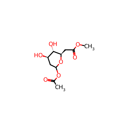 COC(=O)C[C@H]1OC(OC(C)=O)C[C@@H](O)[C@@H]1O